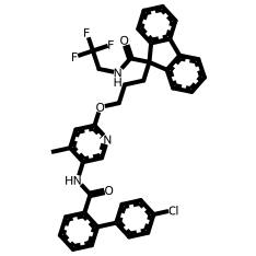 Cc1cc(OCCCC2(C(=O)NCC(F)(F)F)c3ccccc3-c3ccccc32)ncc1NC(=O)c1ccccc1-c1ccc(Cl)cc1